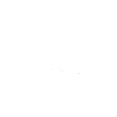 CNCc1cccc(Cc2cccc3ccc4c(c23)CCC2=C4C=CCC2)c1.O=c1[nH]ncc2ccccc12